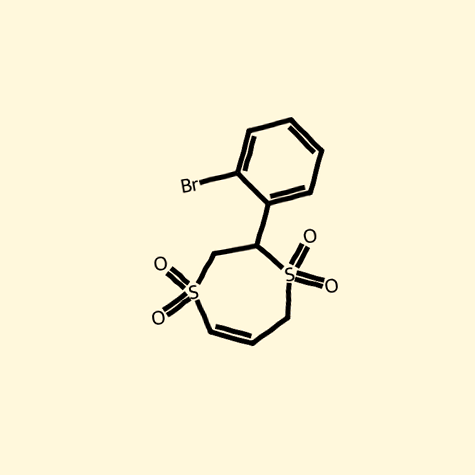 O=S1(=O)C=CCS(=O)(=O)C(c2ccccc2Br)C1